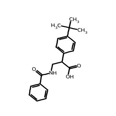 CC(C)(C)c1ccc(C(CNC(=O)c2ccccc2)C(=O)O)cc1